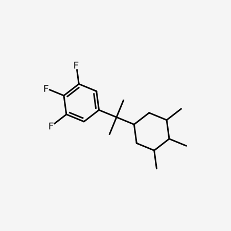 CC1CC(C(C)(C)c2cc(F)c(F)c(F)c2)CC(C)C1C